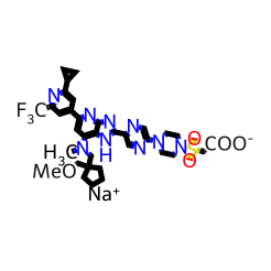 COCC1(CN(C)c2cc(-c3cc(C4CC4)nc(C(F)(F)F)c3)nc3nc(-c4cnc(N5CCN(S(=O)(=O)CC(=O)[O-])CC5)cn4)[nH]c23)CCCC1.[Na+]